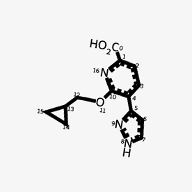 O=C(O)c1ccc(-c2cc[nH]n2)c(OCC2CC2)n1